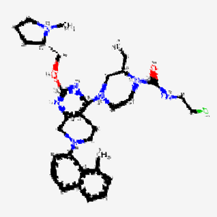 Cc1cccc2cccc(N3CCc4c(nc(OC[C@@H]5CCCN5C)nc4N4CCN(C(=O)NCCCl)C(CC#N)C4)C3)c12